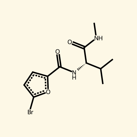 CNC(=O)[C@@H](NC(=O)c1ccc(Br)o1)C(C)C